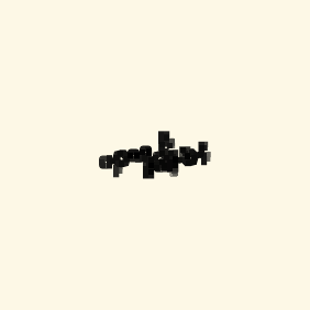 C=C(CC(C)NC(=O)COc1ccc(Cl)c(F)c1)C(=O)NCc1ccc(C(F)F)cn1